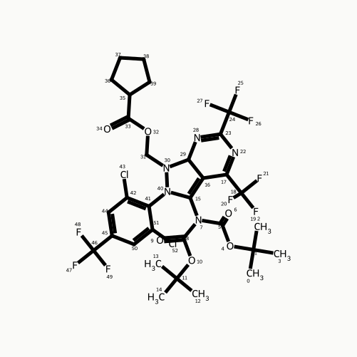 CC(C)(C)OC(=O)N(C(=O)OC(C)(C)C)C1=C2C(C(F)(F)F)=NC(C(F)(F)F)=NC2N(COC(=O)C2CCCC2)N1c1c(Cl)cc(C(F)(F)F)cc1Cl